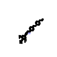 CCC[C@H]1CC[C@H](CCC2CCC(/C=C/C#Cc3cc(F)c(C#N)c(F)c3)CC2)CC1